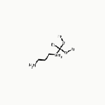 CCOC(CC)(OCC)[SiH2]CCCN